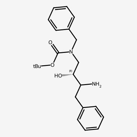 CC(C)(C)OC(=O)N(Cc1ccccc1)C[C@@H](O)C(N)Cc1ccccc1